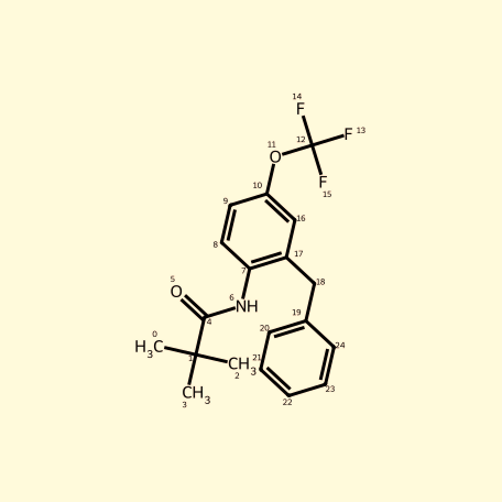 CC(C)(C)C(=O)Nc1ccc(OC(F)(F)F)cc1Cc1ccccc1